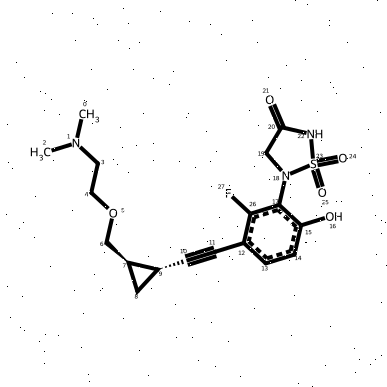 CN(C)CCOC[C@@H]1C[C@H]1C#Cc1ccc(O)c(N2CC(=O)NS2(=O)=O)c1F